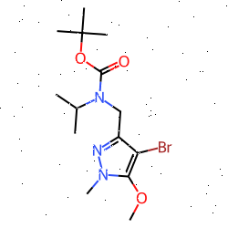 COc1c(Br)c(CN(C(=O)OC(C)(C)C)C(C)C)nn1C